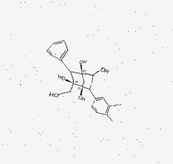 Cc1ccc(C2C(O)[C@@]3(O)C(c4ccccc4)[C@@](O)(CO)[C@@]23O)cc1C